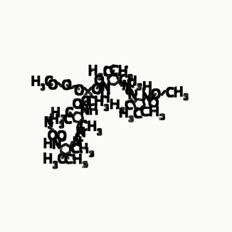 CCCOC(=O)NC1CC(C)(C)CC(C)(CN=C=NCC2(C)CC(NC(=O)OCC(CC)(COCCOCCOC)COC(=O)NC3CC(C)(C)CC(C)(CN=C=NCC4(C)CC(NC(=O)OCCN5CC5)CC(C)(C)C4)C3)CC(C)(C)C2)C1